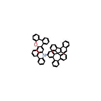 c1ccc(-c2ccccc2N(c2ccc3c(c2)-c2ccccc2-c2ccccc2O3)c2ccc3c(c2)-c2ccccc2-c2ccccc2C32c3ccccc3-c3c2ccc2ccccc32)cc1